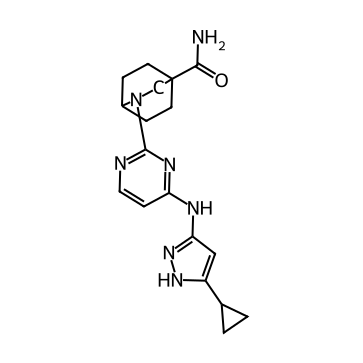 NC(=O)C12CCC(CC1)N(c1nccc(Nc3cc(C4CC4)[nH]n3)n1)C2